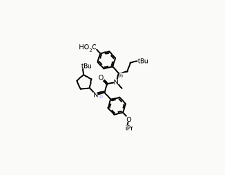 CC(C)Oc1ccc(/C(=N/C2CCC(C(C)(C)C)C2)C(=O)N(C)[C@H](CCC(C)(C)C)c2ccc(C(=O)O)cc2)cc1